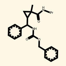 CC(C)NC(=O)C1(C)CC1C(NC(=O)OCc1ccccc1)c1ccccc1